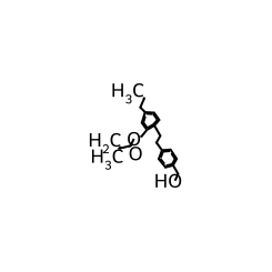 C=C(C)C(=O)OCc1cc(CCC)ccc1CCc1ccc(CO)cc1